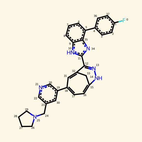 Fc1ccc(-c2cccc3[nH]c(C4=NNC5=CC=C(c6cncc(CN7CCCC7)c6)C=C4C5)nc23)cc1